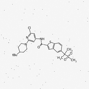 CC(C)(C)C1CCN(c2cc(NC(=O)c3cc4cc(C(C)(C)S(C)(=O)=O)ccc4s3)cc(Cl)n2)CC1